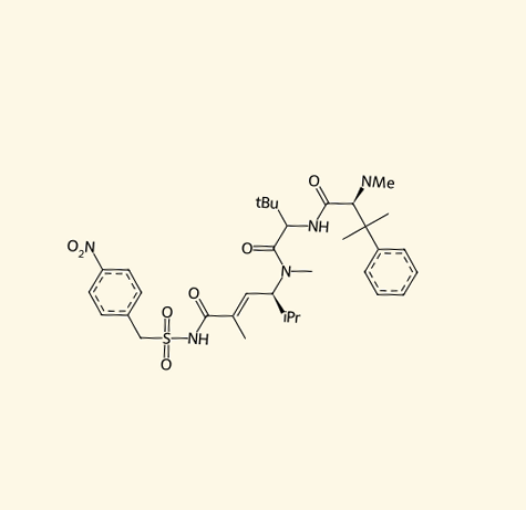 CN[C@H](C(=O)NC(C(=O)N(C)[C@H](/C=C(\C)C(=O)NS(=O)(=O)Cc1ccc([N+](=O)[O-])cc1)C(C)C)C(C)(C)C)C(C)(C)c1ccccc1